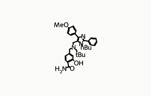 CCCCn1c(-c2ccccc2)nc(-c2ccc(OC)cc2)c1CN(Cc1ccc(C(N)=O)c(O)c1)CC(C)(C)C